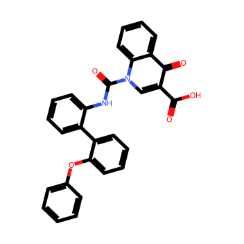 O=C(O)c1cn(C(=O)Nc2ccccc2-c2ccccc2Oc2ccccc2)c2ccccc2c1=O